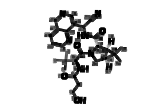 CC(C)(C)[C@H](NC(=O)CCO)C(=O)N1C[C@H]2[C@@H]([C@H]1C(=O)NC(C#N)c1cncc3cccnc13)C2(C)C